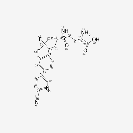 N#Cc1ccc(-c2ccc(C(CCS(=N)(=O)CC[C@H](N)C(=O)O)C(F)(F)F)cc2)cn1